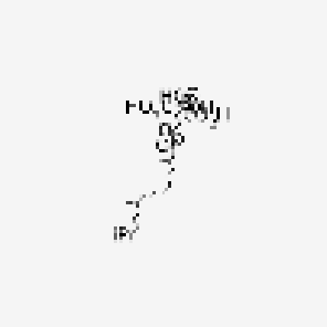 C/C(=C\C(=O)OC(=O)CCC(CC(=O)O)(C(=O)O)P(=O)(O)O)CCC[C@H](C)CCC[C@H](C)CCCC(C)C